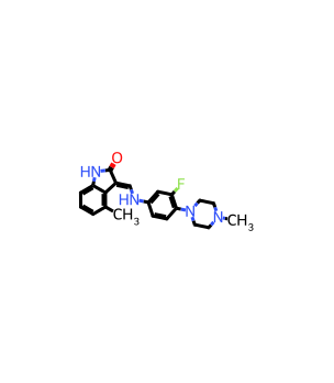 Cc1cccc2c1/C(=C\Nc1ccc(N3CCN(C)CC3)c(F)c1)C(=O)N2